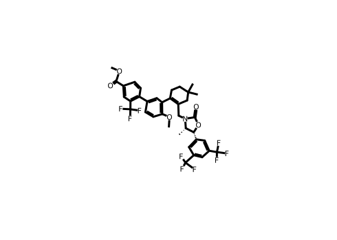 COC(=O)c1ccc(-c2ccc(OC)c(C3=C(CN4C(=O)O[C@H](c5cc(C(F)(F)F)cc(C(F)(F)F)c5)[C@@H]4C)CC(C)(C)CC3)c2)c(C(F)(F)F)c1